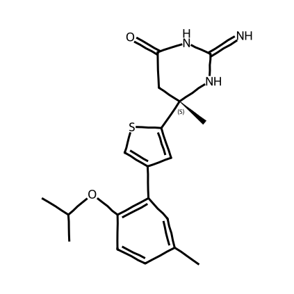 Cc1ccc(OC(C)C)c(-c2csc([C@]3(C)CC(=O)NC(=N)N3)c2)c1